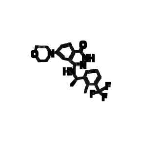 Cc1c([C@@H](C)Nc2n[nH]c(=O)c3ccc(N4CCOCC4)cc23)cccc1C(F)(F)F